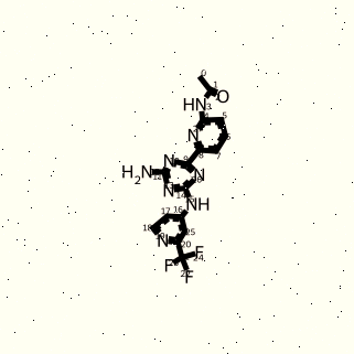 CC(=O)Nc1cccc(-c2nc(N)nc(Nc3ccnc(C(F)(F)F)c3)n2)n1